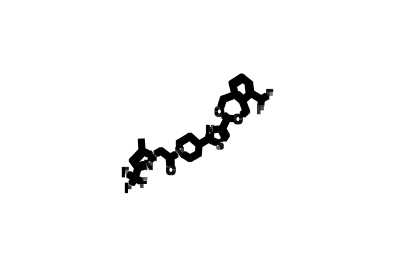 Cc1cc(C(F)(F)F)nn1CC(=O)N1CCC(c2nc(C3OCc4cccc(C(F)F)c4CO3)cs2)CC1